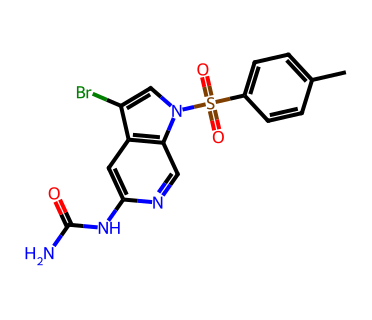 Cc1ccc(S(=O)(=O)n2cc(Br)c3cc(NC(N)=O)ncc32)cc1